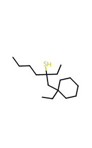 CCCCC(S)(CC)CC1(CC)CCCCC1